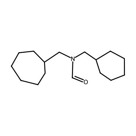 O=CN(CC1CCCCCC1)CC1CCCCC1